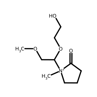 COCC(OCCO)[N+]1(C)CCCC1=O